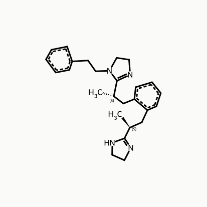 C[C@@H](Cc1ccccc1C[C@H](C)C1=NCCN1CCc1ccccc1)C1=NCCN1